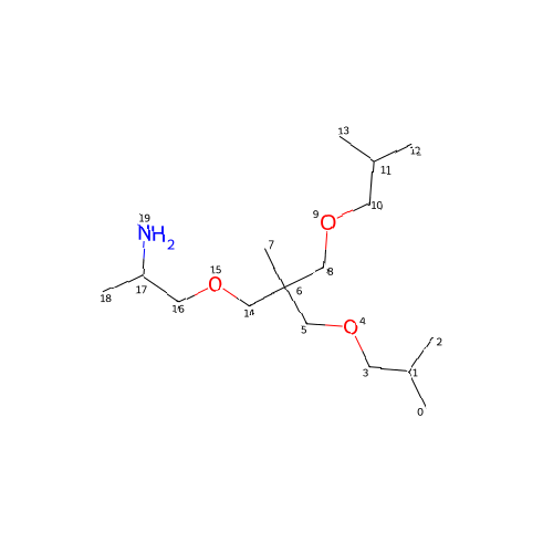 CC(C)COCC(C)(COCC(C)C)COCC(C)N